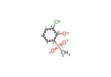 CS(=O)(=O)c1cccc(Cl)c1[O]